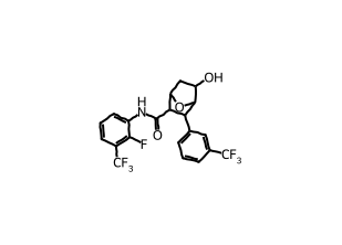 O=C(Nc1cccc(C(F)(F)F)c1F)C1C2CC(O)C(O2)C1c1cccc(C(F)(F)F)c1